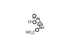 O=C(O)c1ccc(Nc2ncc3c(n2)-c2ccc(Cl)cc2C(c2ccccn2)=NC3)cc1